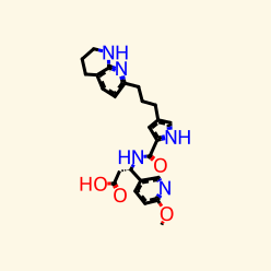 COc1ccc([C@H](CC(=O)O)NC(=O)c2cc(CCCc3ccc4c(n3)NCCC4)c[nH]2)cn1